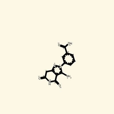 Nc1c2c(nn1-c1cccc(C(=O)O)c1)CC(=O)NC2=O